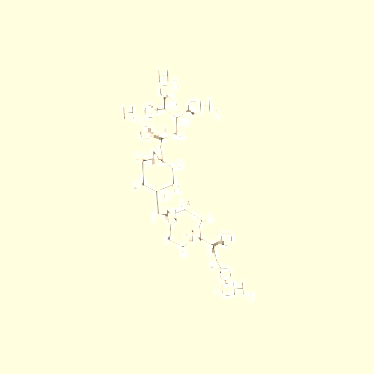 COCC(=O)N1CCN(CC2CCN(C(=O)CC(C)C(C)C)CC2)CC1